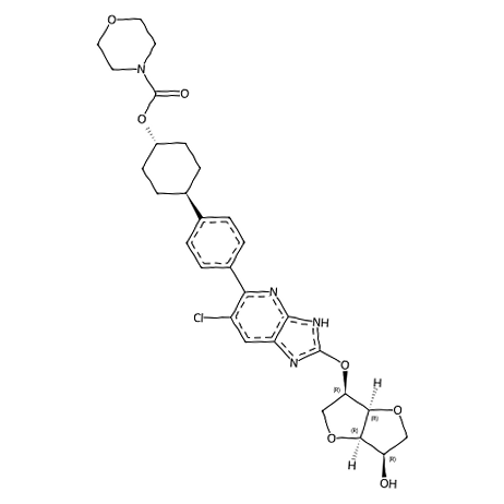 O=C(O[C@H]1CC[C@H](c2ccc(-c3nc4[nH]c(O[C@@H]5CO[C@H]6[C@@H]5OC[C@H]6O)nc4cc3Cl)cc2)CC1)N1CCOCC1